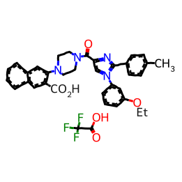 CCOc1cccc(-n2cc(C(=O)N3CCN(c4cc5ccccc5cc4C(=O)O)CC3)nc2-c2ccc(C)cc2)c1.O=C(O)C(F)(F)F